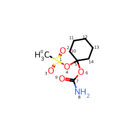 CS(=O)(=O)OC1(OC(N)=O)CCCCC1